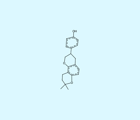 CC1(C)CCc2c(ccc3c2OCC(c2ccc(O)cc2)C3)O1